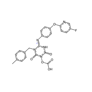 Cc1ccc(Cn2c(=O)n(OC(=O)O)c(=O)[nH]/c2=N\c2ccc(Oc3ccc(F)cn3)cc2)cc1